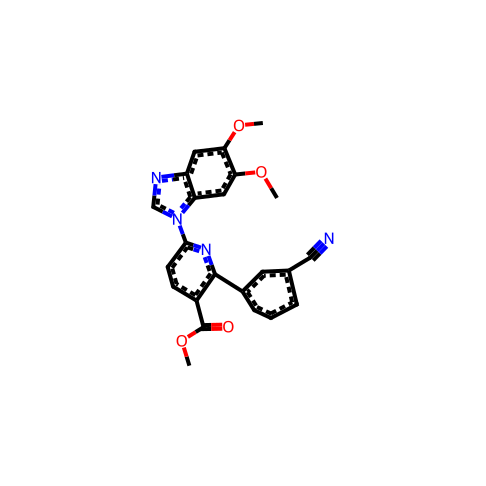 COC(=O)c1ccc(-n2cnc3cc(OC)c(OC)cc32)nc1-c1cccc(C#N)c1